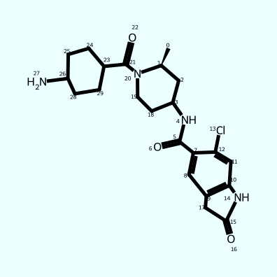 C[C@H]1CC(NC(=O)c2cc3c(cc2Cl)NC(=O)C3)CCN1C(=O)C1CCC(N)CC1